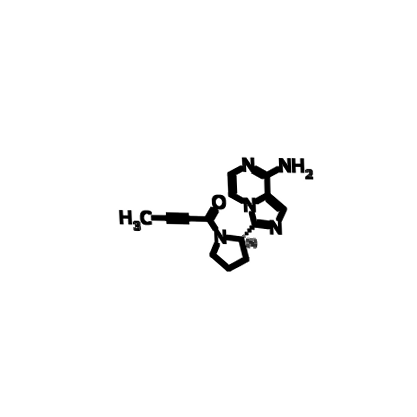 CC#CC(=O)N1CCC[C@H]1c1ncc2c(N)nccn12